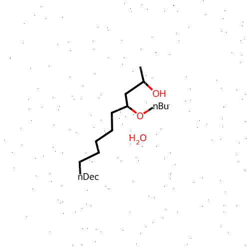 CCCCCCCCCCCCCCCC(CC(C)O)OCCCC.O